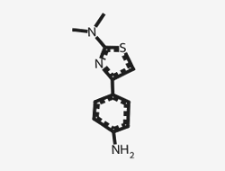 CN(C)c1nc(-c2ccc(N)cc2)cs1